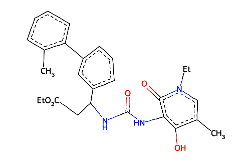 CCOC(=O)CC(NC(=O)Nc1c(O)c(C)cn(CC)c1=O)c1cccc(-c2ccccc2C)c1